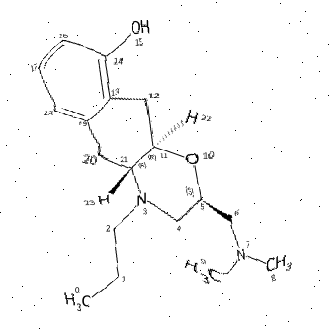 CCCN1C[C@H](CN(C)C)O[C@@H]2Cc3c(O)cccc3C[C@H]21